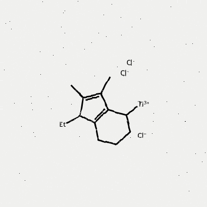 CCC1C(C)=C(C)C2=C1CCC[CH]2[Ti+3].[Cl-].[Cl-].[Cl-]